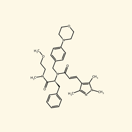 COCCN(C)C(=O)[C@H](Cc1ccccc1)N(Cc1ccc(N2CCOCC2)cc1)C(=O)/C=C/c1c(C)nn(C)c1C